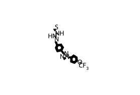 FC(F)(F)Oc1ccc(-n2cnc(-c3ccc(C=NNNC=S)cc3)n2)cc1